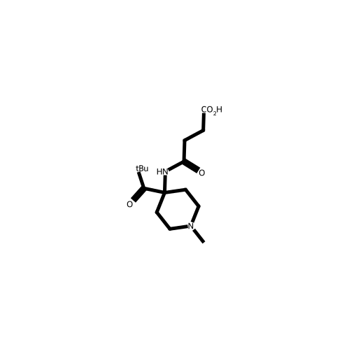 CN1CCC(NC(=O)CCC(=O)O)(C(=O)C(C)(C)C)CC1